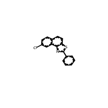 Clc1ccc2ccc3sc(-c4ccccc4)nc3c2c1